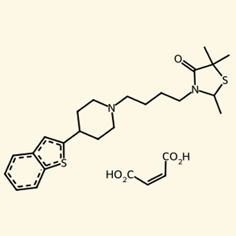 CC1SC(C)(C)C(=O)N1CCCCN1CCC(c2cc3ccccc3s2)CC1.O=C(O)/C=C\C(=O)O